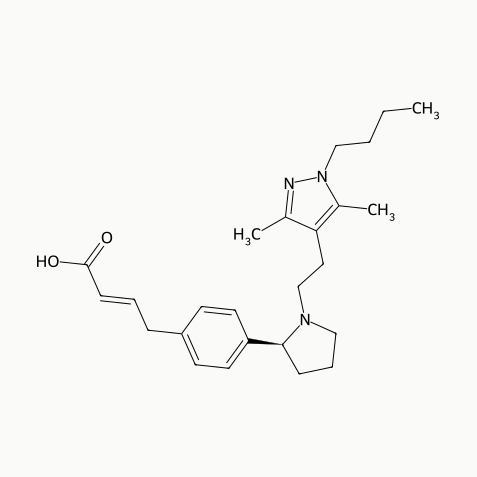 CCCCn1nc(C)c(CCN2CCC[C@H]2c2ccc(C/C=C/C(=O)O)cc2)c1C